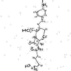 Nc1ccc(SCC2=C(C(=O)O)N3C(=O)[C@H](NC(=O)CCCC(=O)O)[C@@H]3SC2)cc1